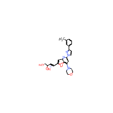 Cc1cccc(-c2ccn(-c3cc(N4CCOCC4)c4oc(/C=C/C(O)CO)cc4n3)n2)c1